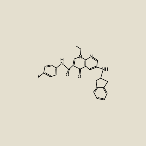 CCn1cc(C(=O)Nc2ccc(F)cc2)c(=O)c2cc(NC3Cc4ccccc4C3)cnc21